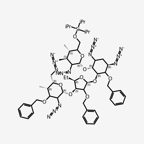 CC[C@H]1O[C@@H](O[C@@H]2C(OCc3ccccc3)[C@H](N=[N+]=[N-])CC(N=[N+]=[N-])[C@H]2O[C@H]2OC(CO[Si](C(C)C)(C(C)C)C(C)C)[C@@H](C)[C@H](C)C2N=[N+]=[N-])C(OCc2ccccc2)[C@H]1O[C@H]1O[C@@H](CN=[N+]=[N-])[C@@H](C)C(OCc2ccccc2)C1N=[N+]=[N-]